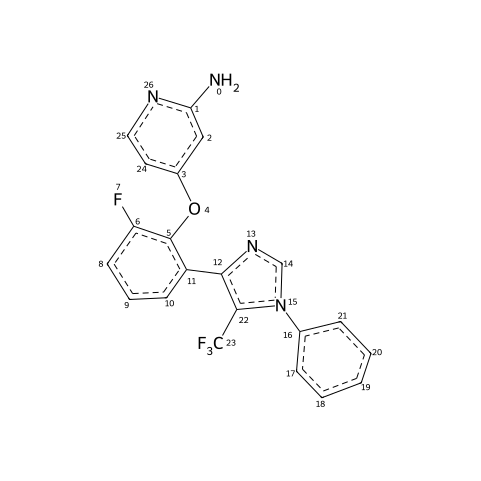 Nc1cc(Oc2c(F)cccc2-c2ncn(-c3ccccc3)c2C(F)(F)F)ccn1